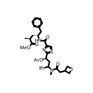 COC(=O)[C@@H](C)C[C@H](Cc1ccccc1)NC(=O)c1csc([C@@H](CC(C(C)C)N(C)C(=O)CC2CSC2)OC(C)=O)n1